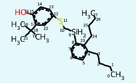 CCCCc1cccc([SiH2]CSc2ccc(O)c(C(C)(C)C)c2)c1CCCC